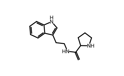 C=C(NCCc1c[nH]c2ccccc12)C1CCCN1